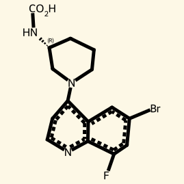 O=C(O)N[C@@H]1CCCN(c2ccnc3c(F)cc(Br)cc23)C1